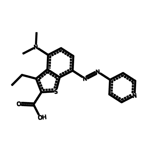 CCc1c(C(=O)O)sc2c(N=Nc3ccncc3)ccc(N(C)C)c12